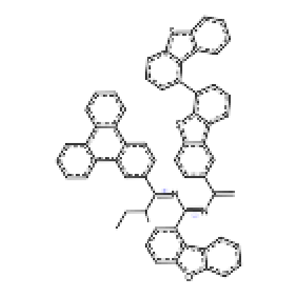 C=C(/N=C(\N=C(\c1ccc2c3ccccc3c3ccccc3c2c1)C(C)CC)c1cccc2oc3ccccc3c12)c1ccc2sc3c(-c4cccc5sc6ccccc6c45)cccc3c2c1